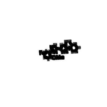 COc1ccc(F)cc1C1=NCC(c2cnc(N3CCCCC3C)c(C)c2)=N1